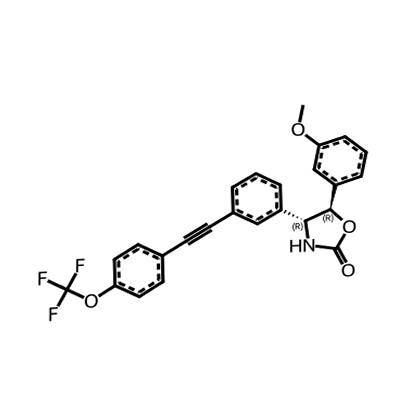 COc1cccc([C@H]2OC(=O)N[C@@H]2c2cccc(C#Cc3ccc(OC(F)(F)F)cc3)c2)c1